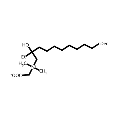 CCCCCCCCCCCCCCCCCCC(O)(CC)C[N+](C)(C)CC(=O)[O-]